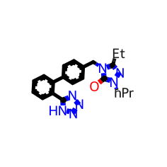 CCCn1nc(CC)n(Cc2ccc(-c3ccccc3-c3nnn[nH]3)cc2)c1=O